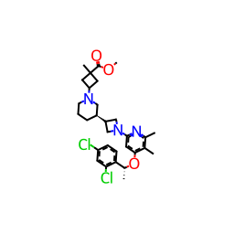 COC(=O)C1(C)CC(N2CCC[C@H](C3CN(c4cc(O[C@H](C)c5ccc(Cl)cc5Cl)c(C)c(C)n4)C3)C2)C1